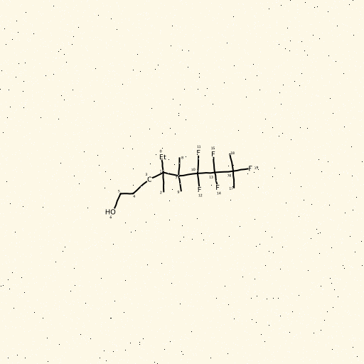 CCC(C)(CCCO)C(C)(C)C(F)(F)C(F)(F)C(C)(C)F